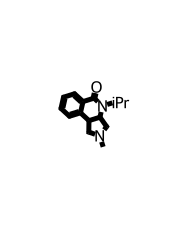 CC(C)N1C(=O)c2ccccc2C2CN(C)CC21